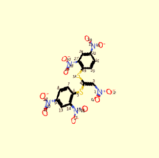 O=[N+]([O-])C=C(Sc1ccc([N+](=O)[O-])cc1[N+](=O)[O-])Sc1ccc([N+](=O)[O-])cc1[N+](=O)[O-]